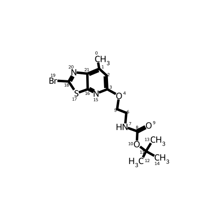 Cc1cc(OCCNC(=O)OC(C)(C)C)nc2sc(Br)nc12